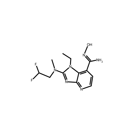 CCn1c(N(C)CC(F)F)nc2nccc(C(N)=NO)c21